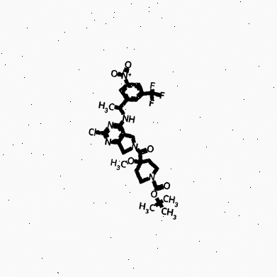 COC1(C(=O)N2Cc3nc(Cl)nc(NC(C)c4cc([N+](=O)[O-])cc(C(F)(F)F)c4)c3C2)CCN(C(=O)OC(C)(C)C)CC1